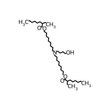 CCCCCCC(CC)C(=O)OCCCCCCCCCN(CCCCO)CCCCCCCCCOC(=O)C(CC)CCCCCC